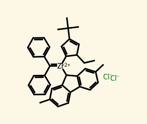 CCC1C=C(C(C)(C)C)C=[C]1[Zr+2](=[C](c1ccccc1)c1ccccc1)[CH]1c2cc(C)ccc2-c2ccc(C)cc21.[Cl-].[Cl-]